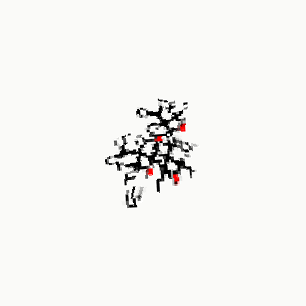 O=C([O-])C(OP(=O)(OC(C(=O)[O-])(C(F)(F)F)C(F)(F)F)OC(C(=O)[O-])(C(F)(F)F)C(F)(F)F)(C(F)(F)F)C(F)(F)F.[Li+].[Li+].[Li+]